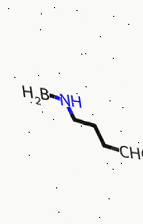 BNCCCC=O